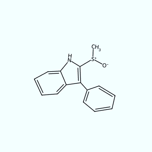 C[S+]([O-])c1[nH]c2ccccc2c1-c1ccccc1